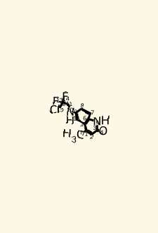 Cc1cc(=O)[nH]c2ccc(NCC(F)(F)Cl)cc12